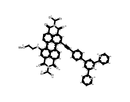 CCC(CC)N1C(=O)c2ccc3c4c(OCCOC)cc5c6c(ccc(c7c(C#Cc8ccc(-c9cc(-c%10ccccn%10)nc(-c%10ccccn%10)c9)cc8)cc(c2c37)C1=O)c64)C(=O)N(C(CC)CC)C5=O